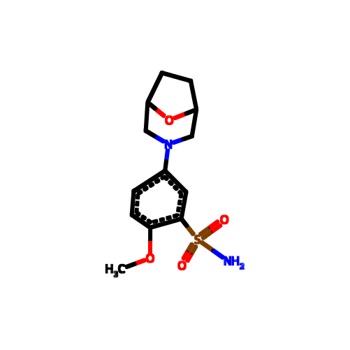 COc1ccc(N2CC3CCC(C2)O3)cc1S(N)(=O)=O